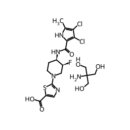 Cc1[nH]c(C(=O)N[C@@H]2CCN(c3ncc(C(=O)O)s3)C[C@@H]2F)c(Cl)c1Cl.NC(CO)(CO)CO